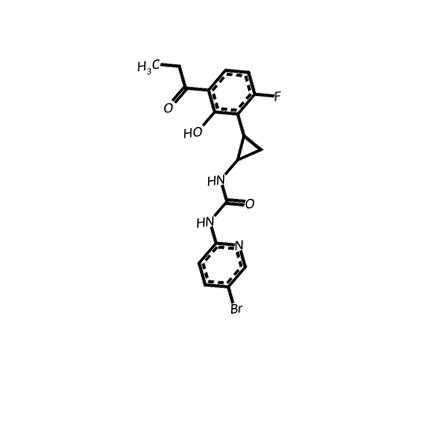 CCC(=O)c1ccc(F)c(C2CC2NC(=O)Nc2ccc(Br)cn2)c1O